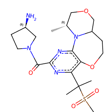 C[C@@H]1COCC2CCOc3c(nc(C(=O)N4CC[C@@H](N)C4)nc3C(C)(C)S(C)(=O)=O)N21